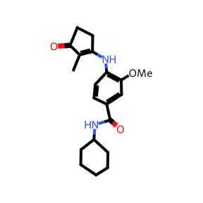 COc1cc(C(=O)NC2CCCCC2)ccc1NC1=C(C)C(=O)CC1